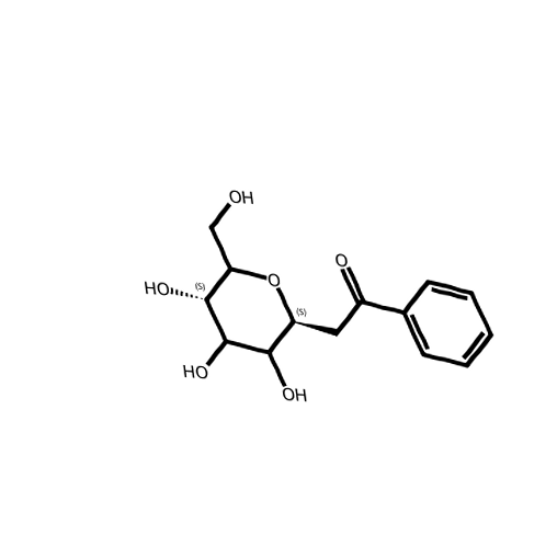 O=C(C[C@@H]1OC(CO)[C@@H](O)C(O)C1O)c1ccccc1